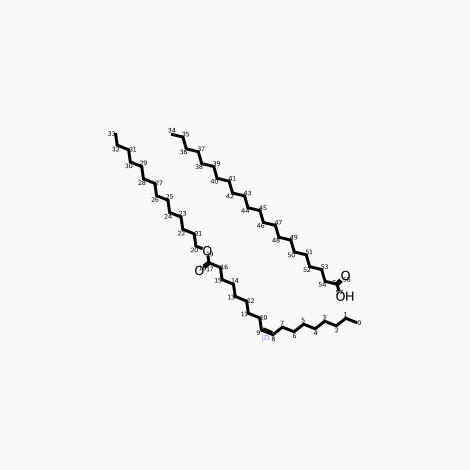 CCCCCCCC/C=C\CCCCCCCC(=O)OCCCCCCCCCCCCCC.CCCCCCCCCCCCCCCCCCCCCC(=O)O